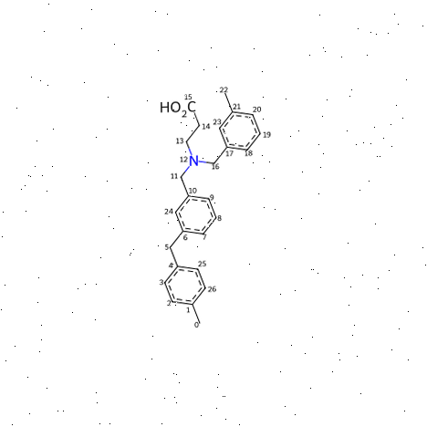 Cc1ccc(Cc2cccc(CN(CCC(=O)O)Cc3cccc(C)c3)c2)cc1